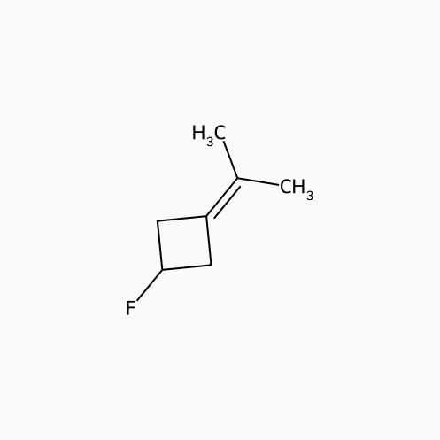 CC(C)=C1CC(F)C1